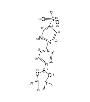 CC1(C)OB(c2ccc(-c3ccc(S(C)(=O)=O)cn3)cc2)OC1(C)C